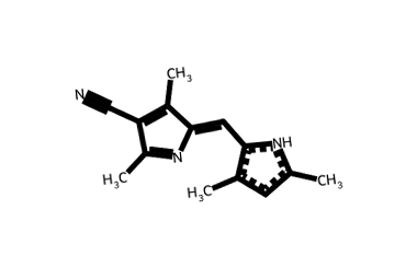 CC1=N/C(=C\c2[nH]c(C)cc2C)C(C)=C1C#N